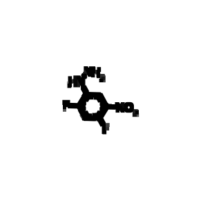 NNc1cc([N+](=O)[O-])c(F)cc1F